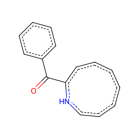 O=C(c1ccccc1)c1ccccccc[nH]1